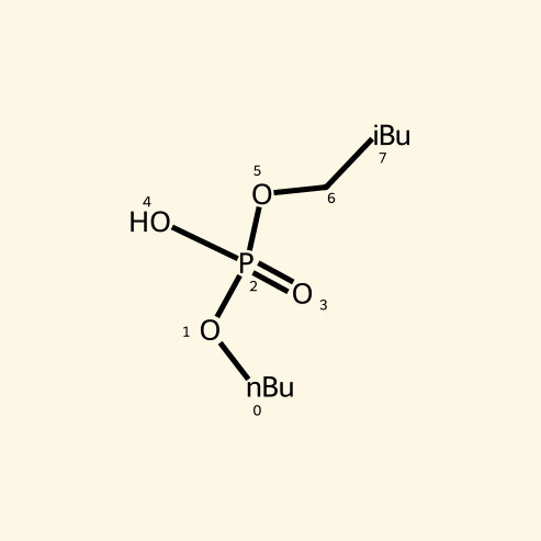 CCCCOP(=O)(O)OCC(C)CC